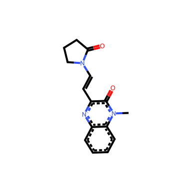 Cn1c(=O)c(C=CN2CCCC2=O)nc2ccccc21